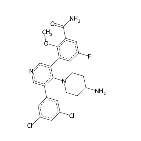 COc1c(C(N)=O)cc(F)cc1-c1cncc(-c2cc(Cl)cc(Cl)c2)c1N1CCC(N)CC1